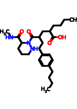 CCCCc1ccc(CCC(CC(CCCC)C(=O)O)C(=O)N2NCCCC2C(=O)NC)cc1